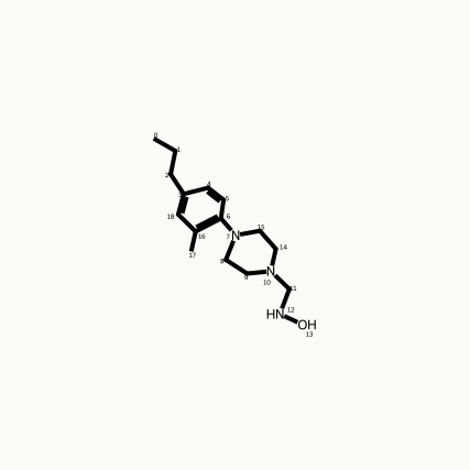 CCCc1ccc(N2CCN(CNO)CC2)c(C)c1